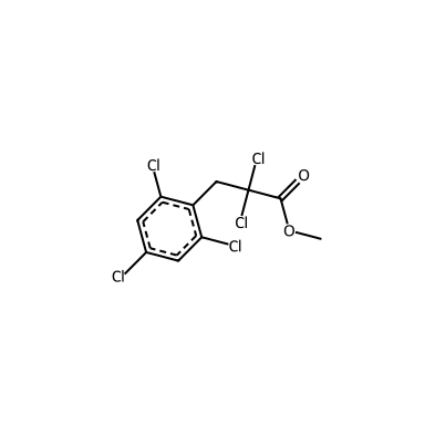 COC(=O)C(Cl)(Cl)Cc1c(Cl)cc(Cl)cc1Cl